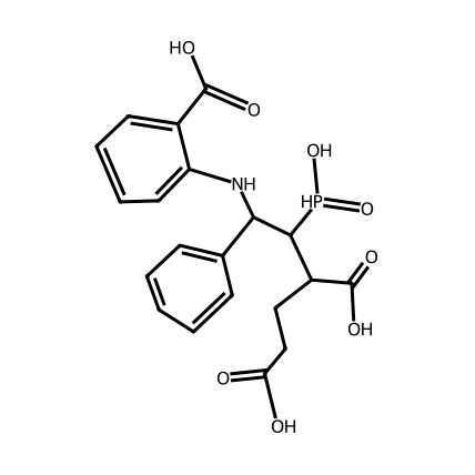 O=C(O)CCC(C(=O)O)C(C(Nc1ccccc1C(=O)O)c1ccccc1)[PH](=O)O